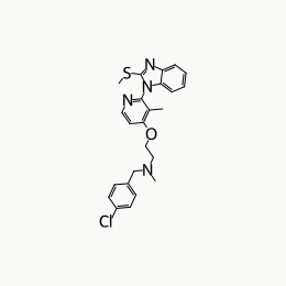 CSc1nc2ccccc2n1-c1nccc(OCCN(C)Cc2ccc(Cl)cc2)c1C